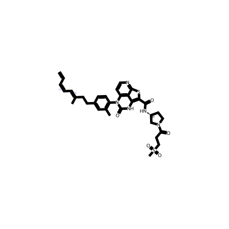 C=C/C=C\C=C(/C)CCc1ccc(N2C(=O)Nc3c(C(=O)N[C@@H]4CCN(C(=O)CCS(C)(=O)=O)C4)sc4nccc2c34)c(C)c1